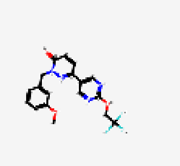 COc1cccc(Cn2nc(-c3cnc(OCC(F)(F)F)nc3)ccc2=O)c1